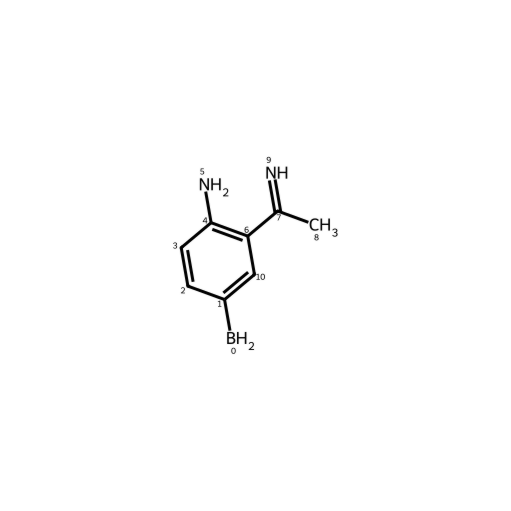 Bc1ccc(N)c(C(C)=N)c1